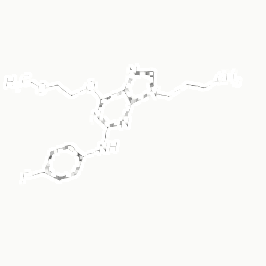 CCCCn1cnc2c(OCCOC)nc(Nc3ccc(F)cc3)nc21